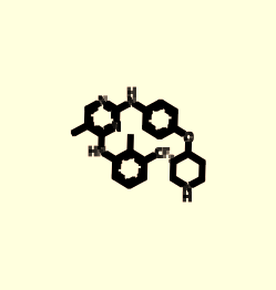 Cc1cnc(Nc2ccc(OC3CCNCC3)cc2)nc1Nc1cccc(C(F)(F)F)c1C